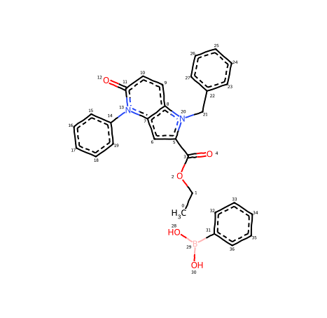 CCOC(=O)c1cc2c(ccc(=O)n2-c2ccccc2)n1Cc1ccccc1.OB(O)c1ccccc1